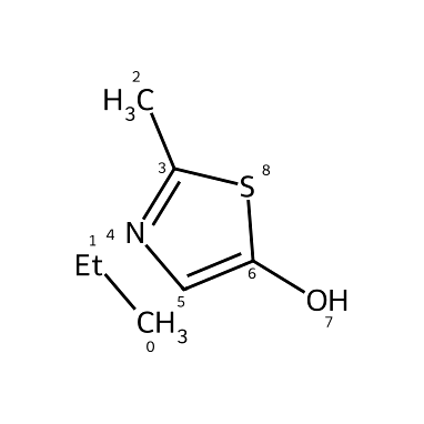 CCC.Cc1ncc(O)s1